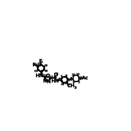 CC(=O)N1CCN(c2ccc(NC(=O)c3nnc(Nc4ccc(F)c(F)c4)o3)cc2C)CC1